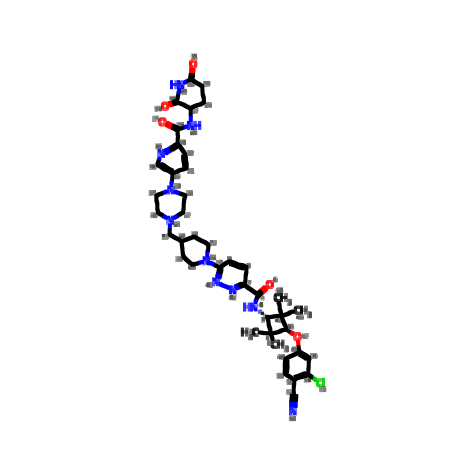 CC1(C)[C@H](NC(=O)c2ccc(N3CCC(CN4CCN(c5ccc(C(=O)NC6CCC(=O)NC6=O)nc5)CC4)CC3)nn2)C(C)(C)[C@H]1Oc1ccc(C#N)c(Cl)c1